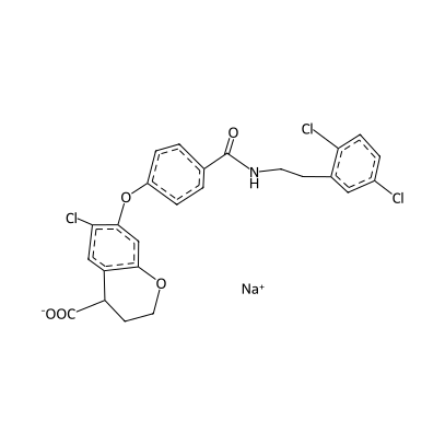 O=C(NCCc1cc(Cl)ccc1Cl)c1ccc(Oc2cc3c(cc2Cl)C(C(=O)[O-])CCO3)cc1.[Na+]